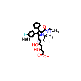 CCNC(=O)c1c(-c2ccccc2)c(-c2ccc(F)cc2)c(/C=C/[C@@H](O)C[C@@H](O)CC(=O)O)n1C(C)C.[NaH]